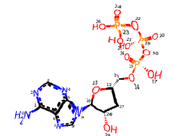 Nc1ncnc2c1ncn2[C@H]1O[C@H](CO[P@](=O)(O)O[P@@](=O)(O)OP(=O)(O)O)C[C@@H]1O